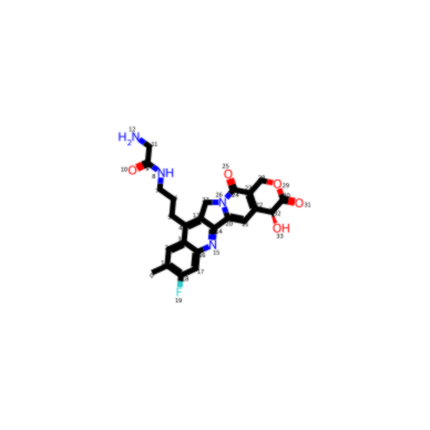 Cc1cc2c(CCCNC(=O)CN)c3c(nc2cc1F)-c1cc2c(c(=O)n1C3)COC(=O)[C@H]2O